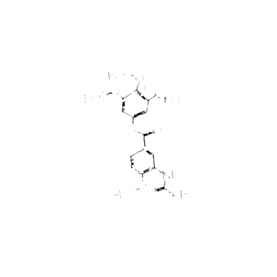 COc1ccc(C(=O)Sc2cc(OC)c(OC)c(OC)c2)cc1NC(C)=O